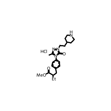 CCC(Cc1ccc(-n2c(C)nn(CCC3CCNCC3)c2=O)cc1)C(=O)OC.Cl